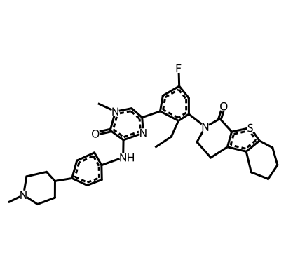 CCc1c(-c2cn(C)c(=O)c(Nc3ccc(C4CCN(C)CC4)cc3)n2)cc(F)cc1N1CCc2c(sc3c2CCCC3)C1=O